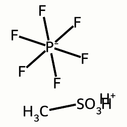 CS(=O)(=O)O.F[P-](F)(F)(F)(F)F.[H+]